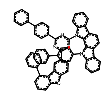 c1ccc(-c2ccc(-c3nc(-c4ccc5oc6cccc(-c7ccccc7)c6c5c4)nc(-n4c5ccccc5c5ccc6c7ccccc7n(-c7ccc(-c8ccccc8)cc7)c6c54)n3)cc2)cc1